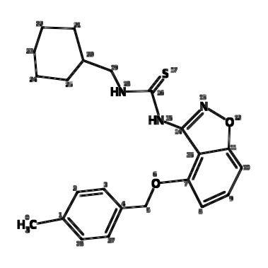 Cc1ccc(COc2cccc3onc(NC(=S)NCC4CCCCC4)c23)cc1